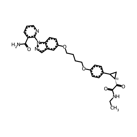 CCNC(=O)C(=O)[C@H]1CC1c1ccc(OCCCCOc2ccc3c(cnn3-c3ncccc3C(N)=O)c2)cc1